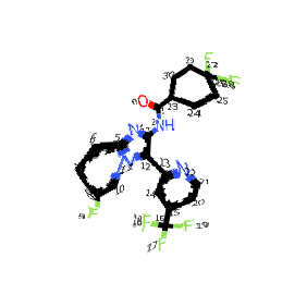 O=C(Nc1nc2ccc(F)cn2c1-c1cc(C(F)(F)F)ccn1)C1CCC(F)(F)CC1